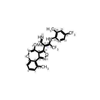 COC1=POc2cccc(C)c2-c2noc(/C(C=N)=C(/Nc3ncc(C(F)(F)F)cc3C)C(F)(F)F)c21